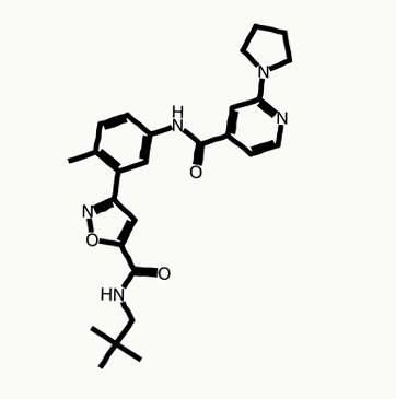 Cc1ccc(NC(=O)c2ccnc(N3CCCC3)c2)cc1-c1cc(C(=O)NCC(C)(C)C)on1